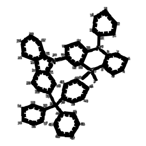 C[Si]1(C)c2ccccc2N(c2ccccc2)c2ccc(-n3c4ccccc4c4ccc(C(c5ccccc5)(c5ccccc5)c5ccccc5)cc43)cc21